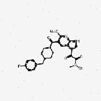 CCN(C)C(=O)C(=O)c1c[nH]c2nc(OC)c(C(=O)N3CCC(Cc4ccc(F)cc4)CC3)cc12